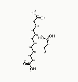 CCCC(O)O.O=C(O)CCCCCCCCCCC(=O)O